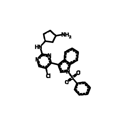 NC1CCC(Nc2ncc(Cl)c(-c3cn(S(=O)(=O)c4ccccc4)c4ccccc34)n2)C1